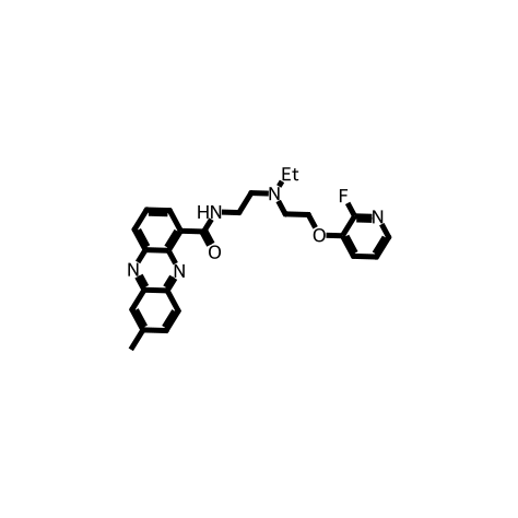 CCN(CCNC(=O)c1cccc2nc3cc(C)ccc3nc12)CCOc1cccnc1F